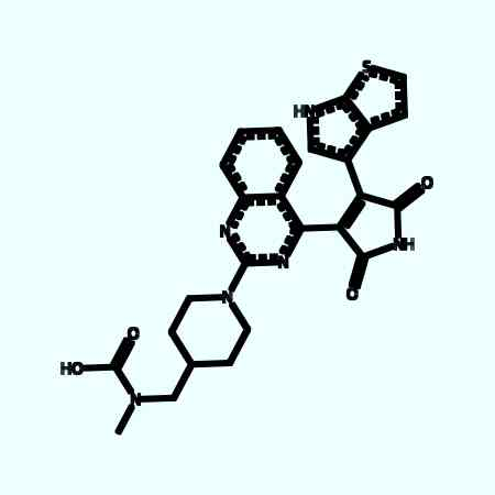 CN(CC1CCN(c2nc(C3=C(c4c[nH]c5sccc45)C(=O)NC3=O)c3ccccc3n2)CC1)C(=O)O